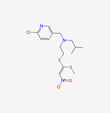 CSC(=C[N+](=O)[O-])SCCN(Cc1ccc(Cl)nc1)CC(C)C